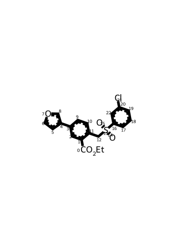 CCOC(=O)c1cc(-c2ccoc2)ccc1CS(=O)(=O)c1cccc(Cl)c1